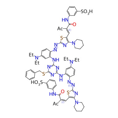 CCN(CC)c1ccc(/N=N/c2nc(N3CCCCC3)c(/C=C(/C(C)=O)C(=O)Nc3cccc(S(=O)(=O)O)c3)s2)c(Nc2nc(Nc3cc(N(CC)CC)ccc3/N=N/c3nc(N4CCCCC4)c(/C=C(\C(C)=O)C(=O)Nc4cccc(S(=O)(=O)O)c4)s3)nc(SCc3ccccc3)n2)c1